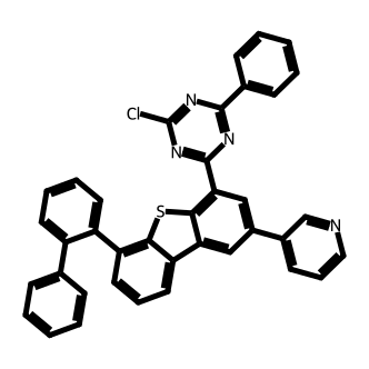 Clc1nc(-c2ccccc2)nc(-c2cc(-c3cccnc3)cc3c2sc2c(-c4ccccc4-c4ccccc4)cccc23)n1